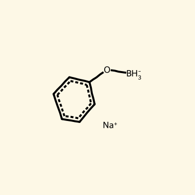 [BH3-]Oc1ccccc1.[Na+]